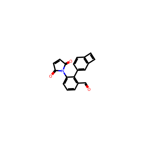 O=Cc1cccc(N2C(=O)C=CC2=O)c1-c1ccc2c(c1)C=C2